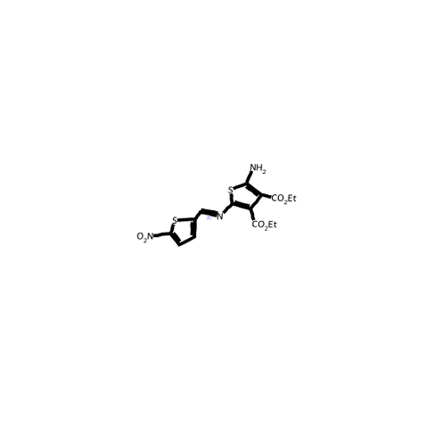 CCOC(=O)c1c(N)sc(/N=C/c2ccc([N+](=O)[O-])s2)c1C(=O)OCC